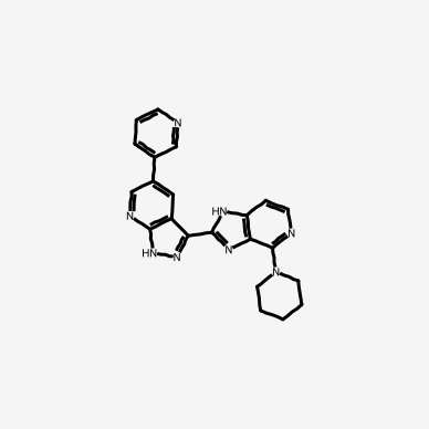 c1cncc(-c2cnc3[nH]nc(-c4nc5c(N6CCCCC6)nccc5[nH]4)c3c2)c1